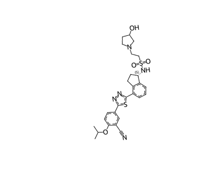 CC(C)Oc1ccc(-c2nnc(-c3cccc4c3CC[C@@H]4NS(=O)(=O)CCN3CCC(O)C3)s2)cc1C#N